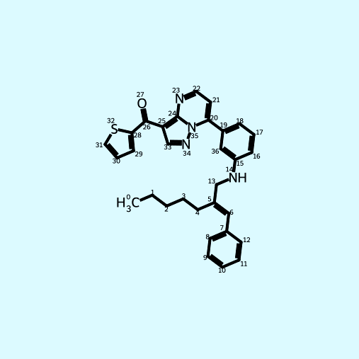 CCCCC/C(=C\c1ccccc1)CNc1cccc(-c2ccnc3c(C(=O)c4cccs4)cnn23)c1